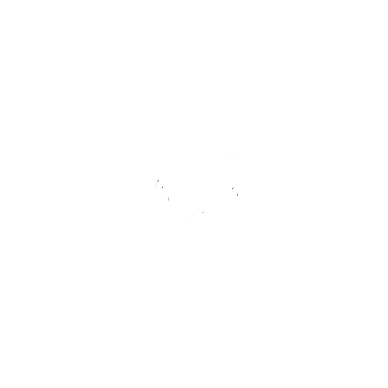 CC(CC[N+]1([O-])CCCCC1)N1CCCCCC1=O